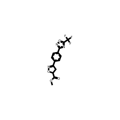 COC(=O)C1CC(c2ccc(-c3noc(C(F)(F)F)n3)cc2)=NO1